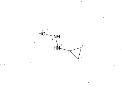 ONNC1CC1